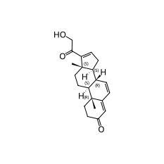 C[C@]12CCC(=O)C=C1C=C[C@@H]1[C@@H]2CC[C@]2(C)C(C(=O)CO)=CC[C@@H]12